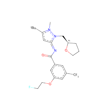 Cn1c(C(C)(C)C)cc(=NC(=O)c2cc(OCCF)cc(C(F)(F)F)c2)n1C[C@H]1CCCO1